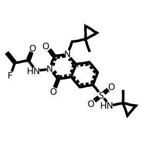 C=C(F)C(=O)Nn1c(=O)c2cc(S(=O)(=O)NC3(C)CC3)ccc2n(CC2(C)CC2)c1=O